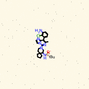 Cc1nc(N2CCC3(CCCC3)C(N[S@+]([O-])C(C)(C)C)C2)n2ccnc2c1-c1cccc(N)c1Cl